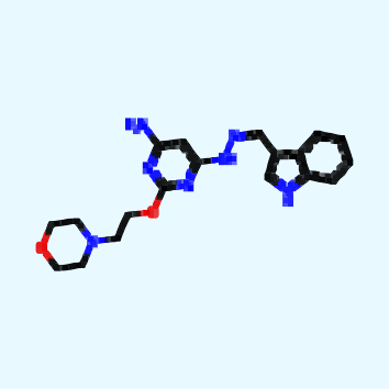 Nc1cc(N/N=C\c2c[nH]c3ccccc23)nc(OCCN2CCOCC2)n1